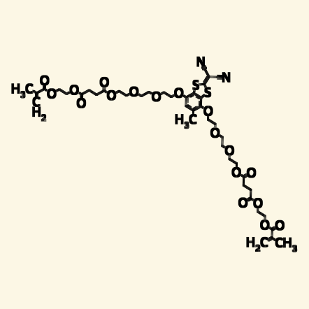 C=C(C)C(=O)OCCOC(=O)CCC(=O)OCCOCCOCCOc1cc(C)c(OCCOCCOCCOC(=O)CCC(=O)OCCOC(=O)C(=C)C)c2c1SC(=C(C#N)C#N)S2